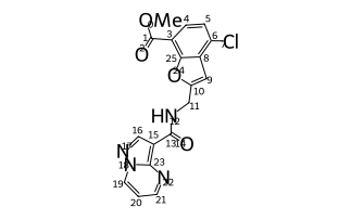 COC(=O)c1ccc(Cl)c2cc(CNC(=O)c3cnn4cccnc34)oc12